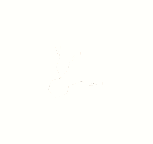 C=CCC1CCCCC1(CC=C)CC=C